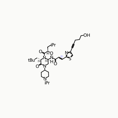 CC(C)C[C@H]1ON(C(=O)/C=C/c2nc(C#CCCCO)cs2)[C@H]2CN(C3CCN(C(C)C)CC3)C(=O)[C@H](CC(C)(C)C)N2C1=O